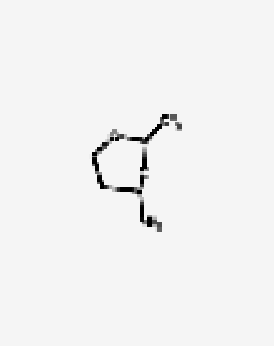 NC1CCOC(C(F)(F)F)C1